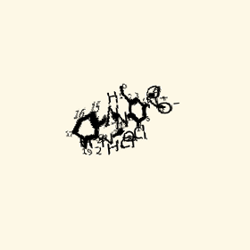 CCc1cc([N+](=O)[O-])cc(Cl)c1N(Nc1cccc(C)c1)C(N)=O.Cl